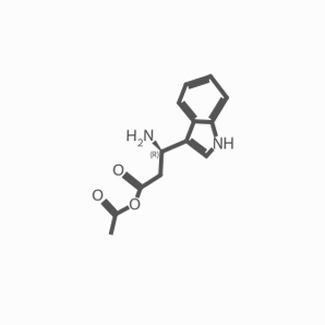 CC(=O)OC(=O)C[C@@H](N)c1c[nH]c2ccccc12